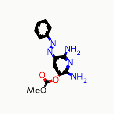 COC(=O)Oc1cc(/N=N/c2ccccc2)c(N)nc1N